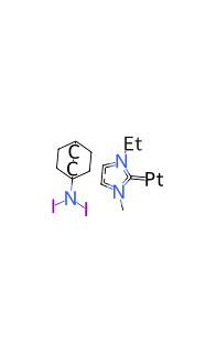 CCn1ccn(C)[c]1=[Pt].IN(I)C12CCC(CC1)CC2